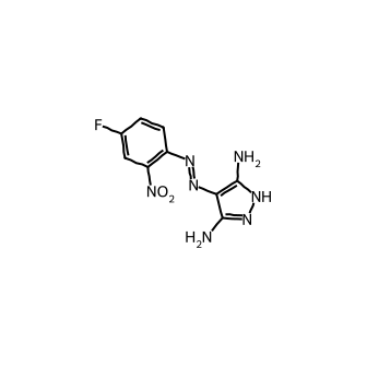 Nc1n[nH]c(N)c1N=Nc1ccc(F)cc1[N+](=O)[O-]